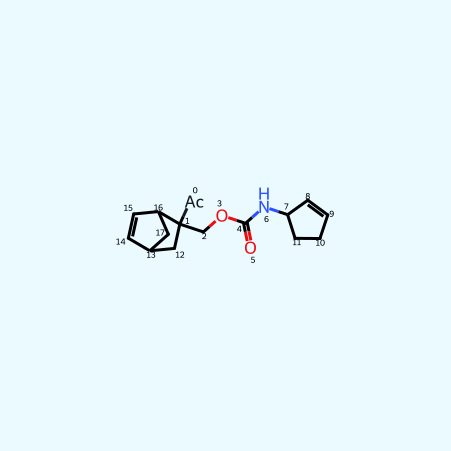 CC(=O)C1(COC(=O)NC2C=CCC2)CC2C=CC1C2